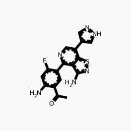 CC(=O)c1cc(-c2ncc(-c3cn[nH]c3)c3snc(N)c23)c(F)cc1N